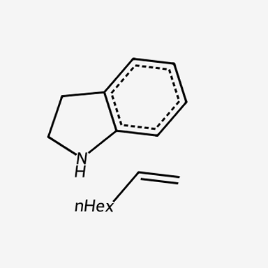 C=CCCCCCC.c1ccc2c(c1)CCN2